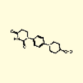 O=CC1CCN(c2ccc(N3CCC(=O)NC3=O)cc2)CC1